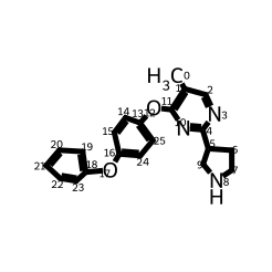 Cc1cnc(C2CCNC2)nc1Oc1ccc(Oc2ccccc2)cc1